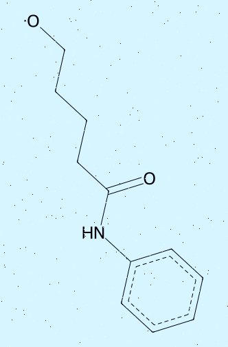 [O]CCCCC(=O)Nc1ccccc1